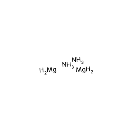 N.N.[MgH2].[MgH2]